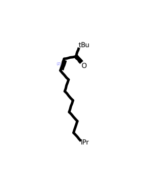 CC(C)CCCCCC/C=C\C(=O)C(C)(C)C